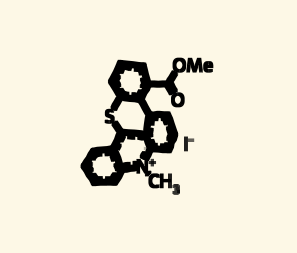 COC(=O)c1cccc2c1-c1cccc3c1c(c1ccccc1[n+]3C)S2.[I-]